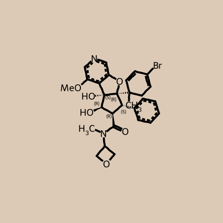 COc1cncc2c1[C@]1(O)[C@H](O)[C@H](C(=O)N(C)C3COC3)[C@@H](c3ccccc3)[C@]1(C1(C)C=CC(Br)=CC1)O2